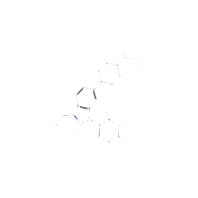 CCc1nn(C2CCCCC2)c2cc(C3CCC(CO)CC3)ccc12